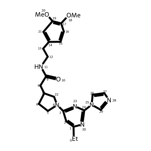 CCc1cc(N2CCC(CC(=O)NCCc3ccc(OC)c(OC)c3)C2)nc(-n2ccnc2)n1